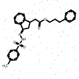 Cc1ccc(S(=O)(=O)NN=C2CC(CC(=O)OCCCc3ccccc3)c3ccccc32)cc1